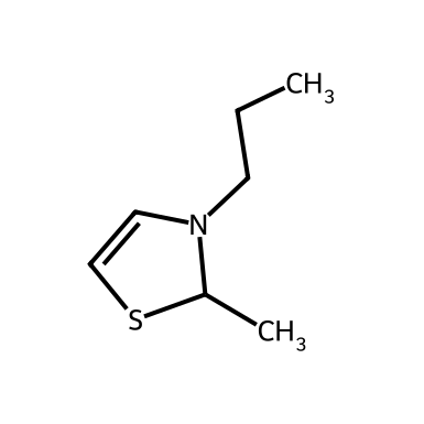 CCCN1C=CSC1C